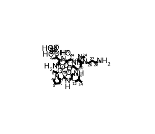 CC(=O)N1CCC[C@H]1C(=O)N[C@@H](CC(C)C)C(=O)N[C@@H](Cc1cncn1CCCN)C(=O)N[C@@H](CO)C(=O)N[C@H](C(N)=O)[C@@H](C)OP(=O)(O)O